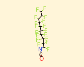 O=C=NC(F)C(F)(F)C(F)(F)C(F)(F)C(F)(F)C(F)(F)C(F)(F)C(F)C(F)C(F)F